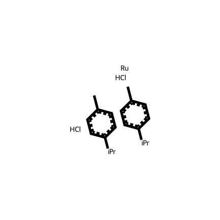 Cc1ccc(C(C)C)cc1.Cc1ccc(C(C)C)cc1.Cl.Cl.[Ru]